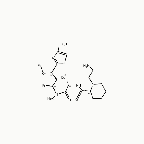 CCCCCCN(C(=O)[C@@H](NC(=O)[C@H]1CCCCN1CCN)[C@@H](C)CC)[C@H](C[C@@H](OCC)c1nc(C(=O)O)cs1)C(C)C